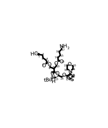 C#CCCCC(=O)OCC(COC(=O)CCCCN)C(=O)O[C@@H](CNC(C)(C)C)COc1nsnc1N1CCOCC1